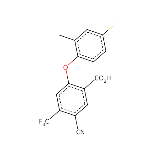 Cc1cc(F)ccc1Oc1cc(C(F)(F)F)c(C#N)cc1C(=O)O